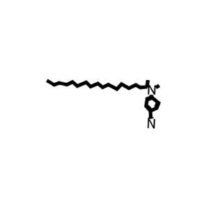 CCCCCCCCCCCCCCCCC(C)N(C)c1ccc(C#N)cc1